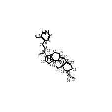 Cc1cnccc1CCC(C)[C@H]1CC[C@@H]2[C@]1(C)CCC1=CC3=CC[C@@H](N(C)C)C[C@]34CC[C@@]12O4